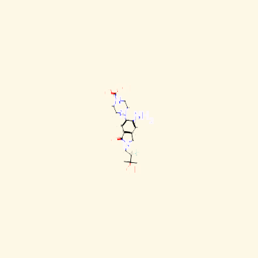 CC(C)(O)[C@H](F)CN1Cc2cc(N)c(N3CCN(C(=O)O)CC3)cc2C1=O